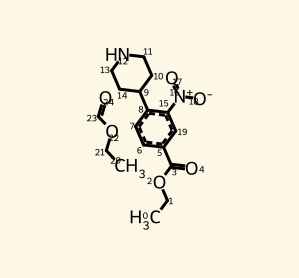 CCOC(=O)c1ccc(C2CCNCC2)c([N+](=O)[O-])c1.CCOC=O